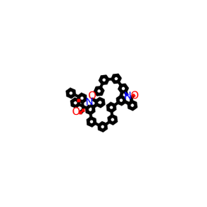 O=c1c2ccccc2c2cc(-c3cccc(-c4cccc(-c5cccc(-c6cccc(-c7cc8c9ccccc9c(=O)n9c%10ccc(-c%11cccc(-c%12cccc(-c%13ccccc%13)c%12)c%11)cc%10c(c7)c89)c6)c5)c4)c3)cc3c2n1-c1ccc(-c2ccccc2)cc1C31c2ccccc2Oc2ccccc21